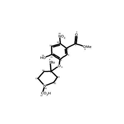 COC(=O)c1cc(OC2(C(C)(C)C)CCN(C(=O)O)CC2)c(O)cc1[N+](=O)[O-]